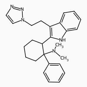 CN(C)C1(c2ccccc2)CCCCC1c1[nH]c2ccccc2c1CCn1ccnn1